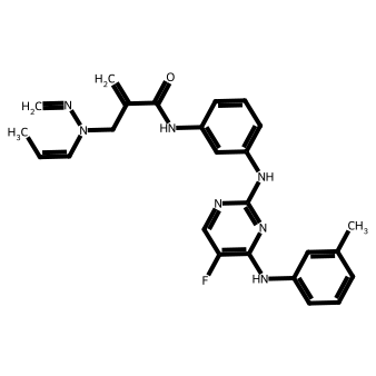 C=NN(/C=C\C)CC(=C)C(=O)Nc1cccc(Nc2ncc(F)c(Nc3cccc(C)c3)n2)c1